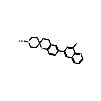 Cc1cc(-c2ccc3c(c2)CCC2(CCN(C=O)CC2)O3)cc2cccnc12